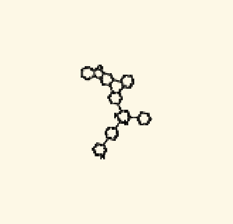 c1ccc(-c2cc(-c3ccc4c(c3)c3ccccc3c3cc5oc6ccccc6c5cc43)nc(-c3ccc(-c4cccnc4)cc3)n2)cc1